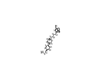 Cc1ccc(N2CCN(CCCCc3cc(I)on3)CC2)cc1